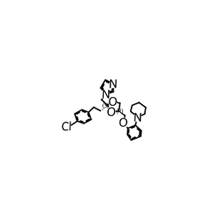 Clc1ccc(CC[C@]2(Cn3ccnc3)OC[C@@H](COc3ccccc3N3CCCCC3)O2)cc1